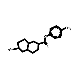 CCCC1CCC2CC(C(=O)Oc3ccc(C)cc3)CCC2C1